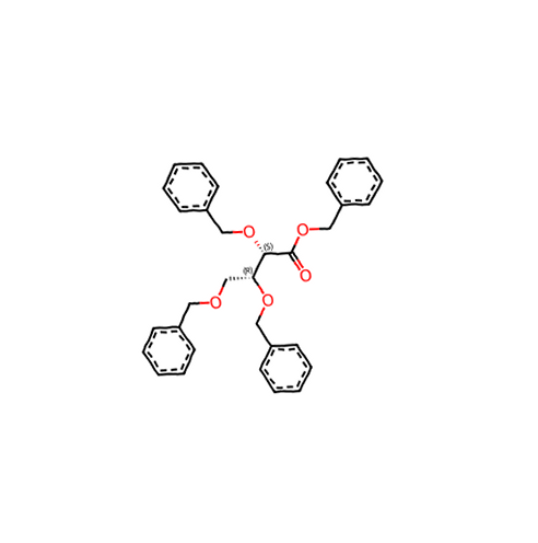 O=C(OCc1ccccc1)[C@@H](OCc1ccccc1)[C@@H](COCc1ccccc1)OCc1ccccc1